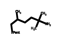 CCCCCCC(C)CCC(C)(C)N